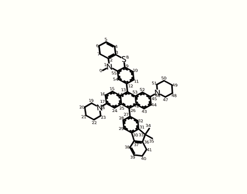 CN1C2=C(C=CCC2)Sc2ccc(-c3c4ccc(N5CCCCC5)cc4c(-c4ccc5c(c4)C(C)(C)C4=C5C=CCC4)c4ccc(N5CCCCC5)cc34)cc21